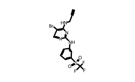 C#CCNc1nc(Nc2cccc(S(=O)(=O)C(F)(F)F)c2)ncc1Br